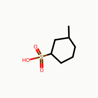 CC1CCCC(S(=O)(=O)O)C1